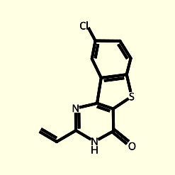 C=Cc1nc2c(sc3ccc(Cl)cc32)c(=O)[nH]1